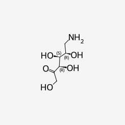 NC[C@@H](O)[C@H](O)[C@@H](O)C(=O)CO